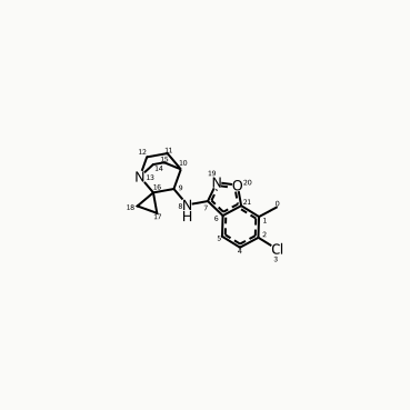 Cc1c(Cl)ccc2c(NC3C4CCN(CC4)C34CC4)noc12